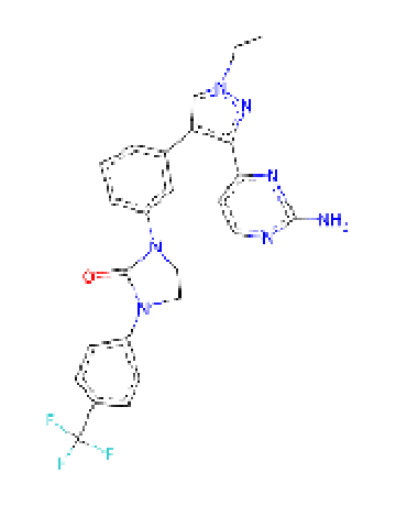 CCn1cc(-c2cccc(N3CCN(c4ccc(C(F)(F)F)cc4)C3=O)c2)c(-c2ccnc(N)n2)n1